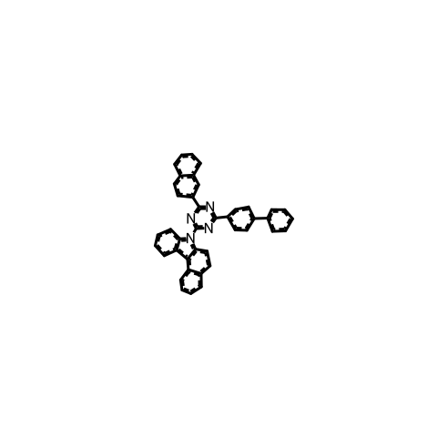 c1ccc(-c2ccc(-c3nc(-c4ccc5ccccc5c4)nc(-n4c5ccccc5c5c6ccccc6ccc54)n3)cc2)cc1